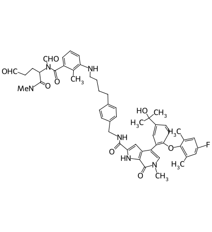 CNC(=O)C(CCC=O)N(C=O)C(=O)c1cccc(NCCCCc2ccc(CNC(=O)c3cc4c(-c5cc(C(C)(C)O)ccc5Oc5c(C)cc(F)cc5C)cn(C)c(=O)c4[nH]3)cc2)c1C